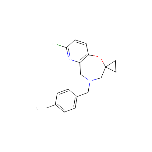 COc1ccc(CN2Cc3nc(Br)ccc3OC3(CC3)C2)cc1